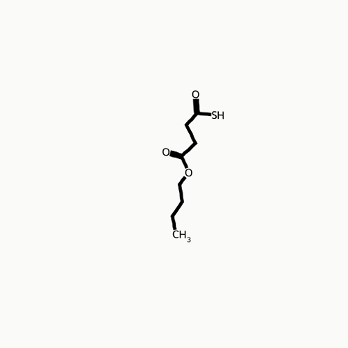 CCCCOC(=O)CCC(=O)S